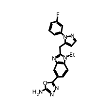 CCn1c(Cc2ccnn2-c2cccc(F)c2)nc2cc(-c3nnc(N)o3)ccc21